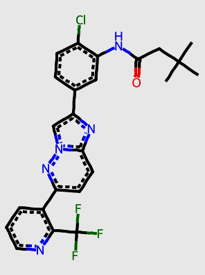 CC(C)(C)CC(=O)Nc1cc(-c2cn3nc(-c4cccnc4C(F)(F)F)ccc3n2)ccc1Cl